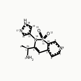 C[C@H](N)C1=Cc2ccncc2S(=O)(=O)N1c1cn[nH]c1